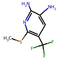 CSc1nc(N)c(N)cc1C(F)(F)F